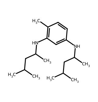 Cc1ccc(NC(C)CC(C)C)cc1NC(C)CC(C)C